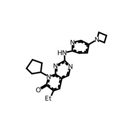 CCc1cc2cnc(Nc3ccc(N4CCC4)cn3)nc2n(C2CCCC2)c1=O